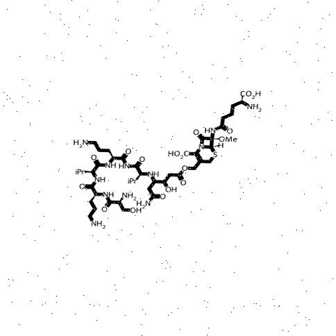 CO[C@@]1(NC(=O)CCC[C@@H](N)C(=O)O)C(=O)N2C(C(=O)O)=C(COC(=O)CC(O)C(CC(N)=O)N[C@H](C(=O)NC(=O)[C@H](CCCN)NC(=O)[C@@H](NC(=O)[C@H](CCCN)NC(=O)[C@@H](N)CO)C(C)C)C(C)C)CS[C@@H]21